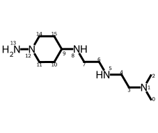 CN(C)CCNCCNC1CCN(N)CC1